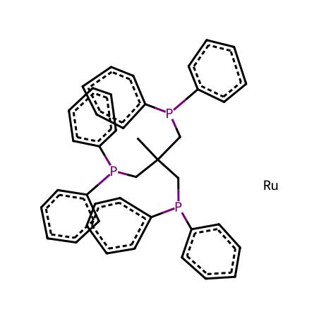 CC(CP(c1ccccc1)c1ccccc1)(CP(c1ccccc1)c1ccccc1)CP(c1ccccc1)c1ccccc1.[Ru]